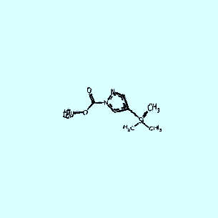 CC(C)(C)OC(=O)n1cc([Si](C)(C)C)cn1